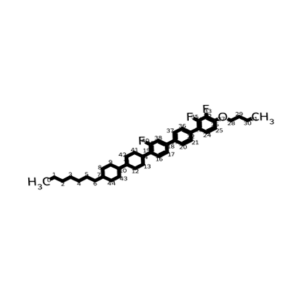 CCCCCCCC1CCC(C2CCC(c3ccc(-c4ccc(-c5ccc(OCCCC)c(F)c5F)cc4)cc3F)CC2)CC1